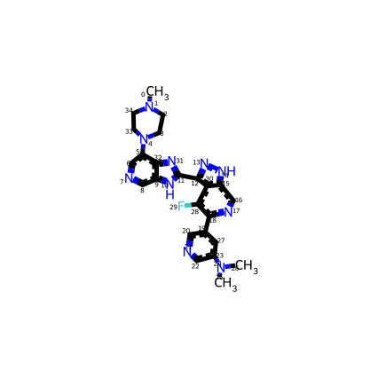 CN1CCN(c2cncc3[nH]c(-c4n[nH]c5cnc(-c6cncc(N(C)C)c6)c(F)c45)nc23)CC1